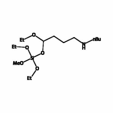 CCCCNCCCC(OCC)O[Si](OC)(OCC)OCC